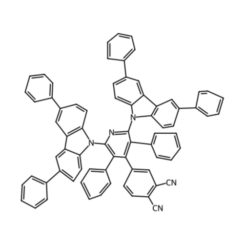 N#Cc1ccc(-c2c(-c3ccccc3)c(-n3c4ccc(-c5ccccc5)cc4c4cc(-c5ccccc5)ccc43)nc(-n3c4ccc(-c5ccccc5)cc4c4cc(-c5ccccc5)ccc43)c2-c2ccccc2)cc1C#N